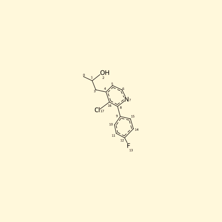 CC(O)Cc1ccnc(-c2ccc(F)cc2)c1Cl